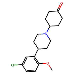 COc1ccc(Cl)cc1C1CCN(C2CCC(=O)CC2)CC1